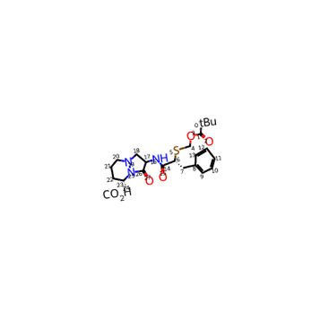 CC(C)(C)C(=O)OCS[C@H](Cc1ccccc1)C(=O)NC1CN2CCC[C@@H](C(=O)O)N2C1=O